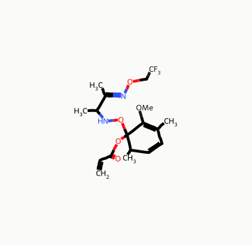 C=CC(=O)OC1(ONC(C)C(C)=NOCC(F)(F)F)C(OC)=C(C)C=CC1C